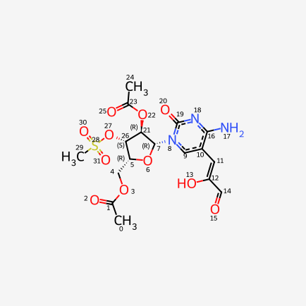 CC(=O)OC[C@H]1O[C@@H](n2cc(C=C(O)C=O)c(N)nc2=O)[C@H](OC(C)=O)[C@H]1OS(C)(=O)=O